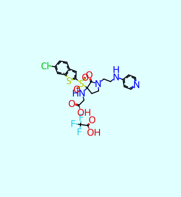 O=C(O)C(F)(F)F.O=C(O)CNC1(S(=O)(=O)c2cc3ccc(Cl)cc3s2)CCN(CCNc2ccncc2)C1=O